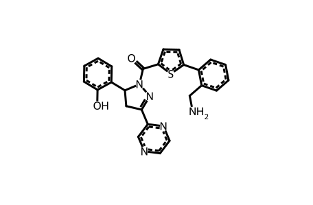 NCc1ccccc1-c1ccc(C(=O)N2N=C(c3cnccn3)CC2c2ccccc2O)s1